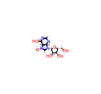 [O-][n+]1cn([C@@H]2O[C@H](CO)[C@@H](O)[C@H]2O)c2ncnc(O)c21